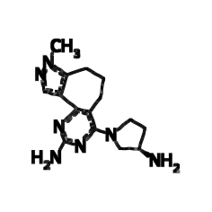 Cn1ncc2c1CCCc1c-2nc(N)nc1N1CC[C@@H](N)C1